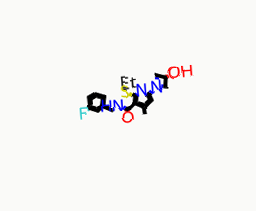 CCSc1nc(N2CC(O)C2)cc(C)c1C(=O)NCc1cccc(F)c1